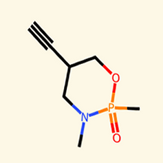 C#CC1COP(C)(=O)N(C)C1